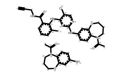 C#CCNC(=O)c1cccc(F)c1Nc1nc(Nc2ccc3c(c2)OCCCN3C(C)=O)ncc1Cl.CC(=O)N1CCCOc2cc(N)ccc21